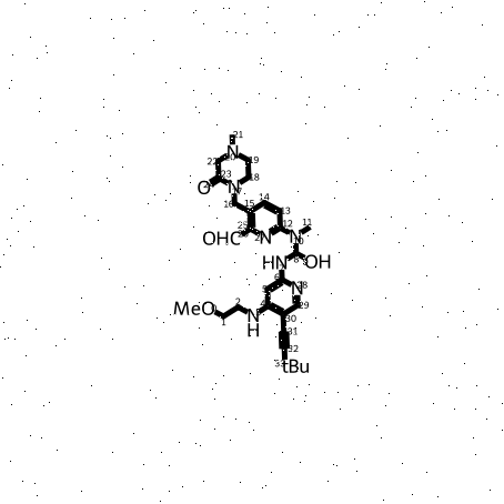 COCCNc1cc(NC(O)N(C)c2ccc(CN3CCN(C)CC3=O)c(C=O)n2)ncc1C#CC(C)(C)C